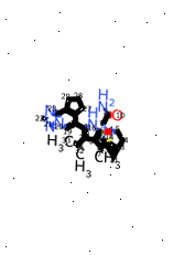 Cc1c(C23CCN(CC(N)=O)CC2C3)sc2[nH]c(-c3cn4ncnc4c4c3CCC4)c(C(C)C)c12